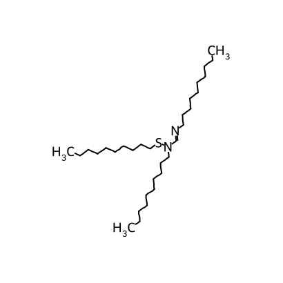 CCCCCCCCCCN=CN(CCCCCCCCCC)SCCCCCCCCCC